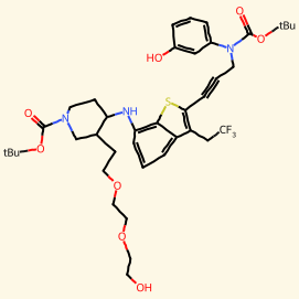 CC(C)(C)OC(=O)N1CCC(Nc2cccc3c(CC(F)(F)F)c(C#CCN(C(=O)OC(C)(C)C)c4cccc(O)c4)sc23)C(CCOCCOCCO)C1